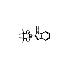 CC1(C)OB(C2=CC3C=CC=CC3N2)OC1(C)C